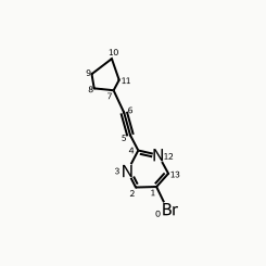 Brc1cnc(C#CC2CCCC2)nc1